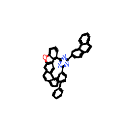 c1ccc(-c2ccc(-c3nc(-c4ccc5ccc6ccccc6c5c4)nc(-c4cccc5oc6cc7ccc8ccccc8c7cc6c45)n3)cc2)cc1